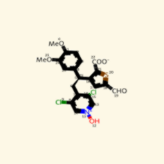 COc1ccc([C@H](Cc2c(Cl)c[n+](O)cc2Cl)c2cc(C=O)sc2C(=O)[O-])cc1OC